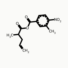 C=CCC(C)C(=O)OC(=O)c1ccc([N+](=O)[O-])c(C)c1